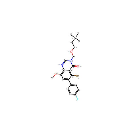 COc1cc(-c2ccc(F)cc2)c(Br)c2c(=O)n(COCC[Si](C)(C)C)cnc12